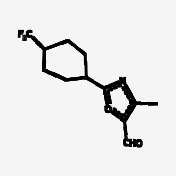 Cc1nc(C2CCC(C(F)(F)F)CC2)oc1C=O